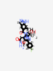 CCOc1c(CC(N)=O)cc([C@@](O)(CNC(=O)c2cc3cn[nH]c3cc2C)C(F)(F)F)nc1-c1ccc(F)cc1